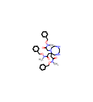 CN(OCc1ccccc1)C(=O)CN1CCNCCNCC1(CC(=O)N(C)OCc1ccccc1)CC(=O)N(C)OCc1ccccc1